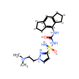 CN(C)CCn1ccc(S(=N)(=O)NC(=O)Nc2c3c(cc4c2CCC4)CCC3)n1